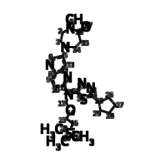 CN1CCN(c2cnc3ccc(N(COCC[Si](C)(C)C)c4nnc(C5CCCC5)s4)nc3c2)CCC1=O